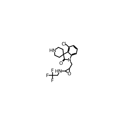 O=C1N(CC2OC2NCC(F)(F)F)c2cccc(Cl)c2C12CCNCC2